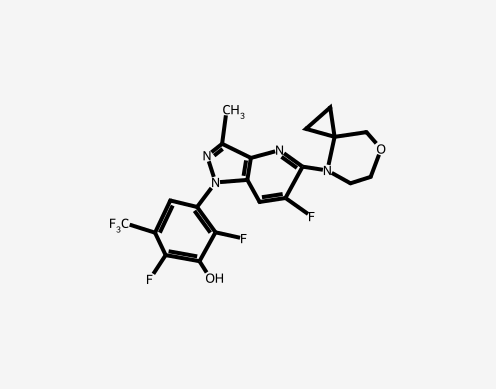 Cc1nn(-c2cc(C(F)(F)F)c(F)c(O)c2F)c2cc(F)c(N3CCOCC34CC4)nc12